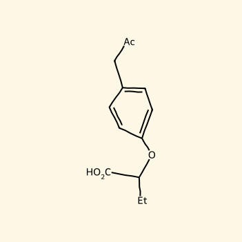 CCC(Oc1ccc(CC(C)=O)cc1)C(=O)O